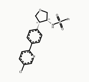 CC(C)S(=O)(=O)N[C@H]1COC[C@H]1c1ccc(-c2ccc(Cl)cn2)cc1